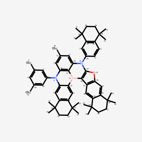 CC(C)(C)c1cc(N2c3cc4c(cc3B3c5c2cc(C(C)(C)C)cc5N(c2ccc5c(c2)C(C)(C)CCC5(C)C)c2oc5cc6c(cc5c23)C(C)(C)CCC6(C)C)C(C)(C)CCC4(C)C)cc(C(C)(C)C)c1